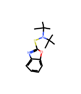 CC(C)(C)N(Sc1nc2ccccc2o1)C(C)(C)C